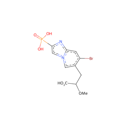 COC(Cc1cn2cc(P(=O)(O)O)nc2cc1Br)C(=O)O